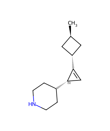 C[C@H]1C[C@H](C2=C[C@@H]2C2CCNCC2)C1